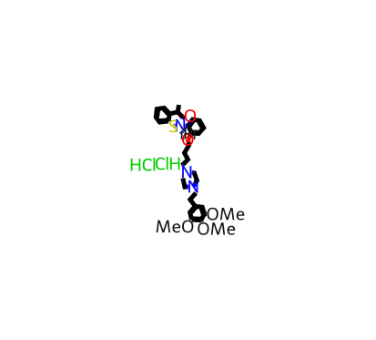 COc1cc(CCN2CCN(CCCCOc3ccccc3[N+]3(C(C)C)Sc4ccccc4C(C)C3=O)CC2)cc(OC)c1OC.Cl.Cl